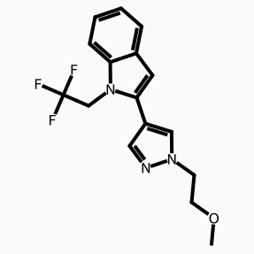 COCCn1cc(-c2cc3ccccc3n2CC(F)(F)F)cn1